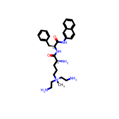 C[N+](CCN)(CCN)CCC[C@H](N)C(=O)N[C@@H](Cc1ccccc1)C(=O)Nc1ccc2ccccc2c1